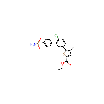 CCOC(=O)c1cc(C)c(-c2ccc(Cl)c(-c3ccc(S(N)(=O)=O)cc3)c2)s1